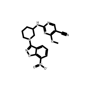 COc1nc(NC2CCCN(c3noc4c([N+](=O)[O-])cccc34)C2)ncc1C#N